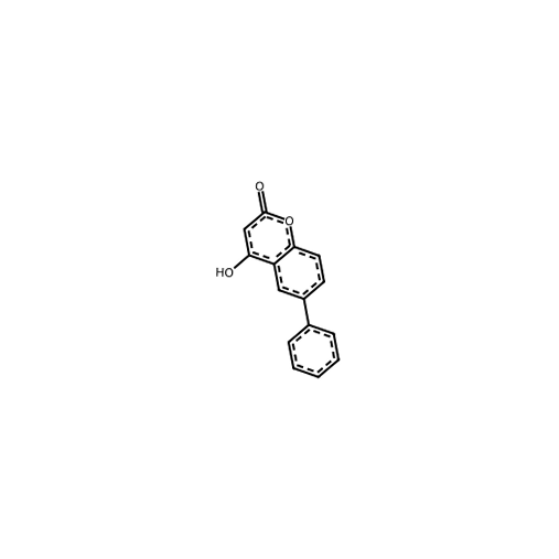 O=c1cc(O)c2cc(-c3ccccc3)ccc2o1